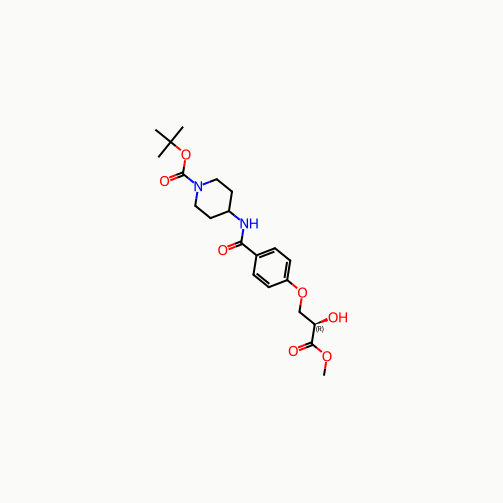 COC(=O)[C@H](O)COc1ccc(C(=O)NC2CCN(C(=O)OC(C)(C)C)CC2)cc1